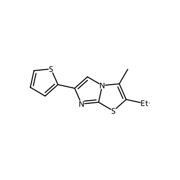 C[CH]c1sc2nc(-c3cccs3)cn2c1C